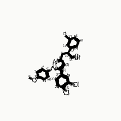 COc1ccc(-n2nc(CC(CBr)c3cccc(C)c3)cc2-c2ccc(Cl)c(Cl)c2)cc1